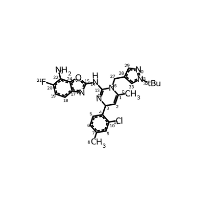 CC1=CC(c2ccc(C)cc2Cl)N=C(Nc2nc3ccc(F)c(N)c3o2)N1Cc1cnn(C(C)(C)C)c1